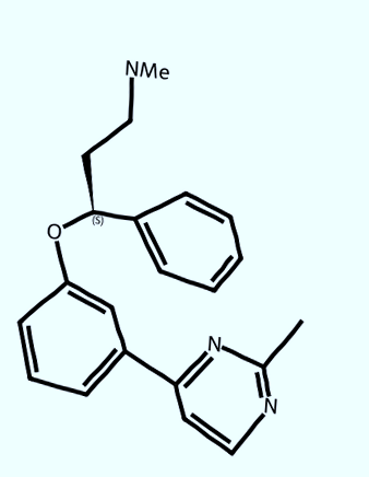 CNCC[C@H](Oc1cccc(-c2ccnc(C)n2)c1)c1ccccc1